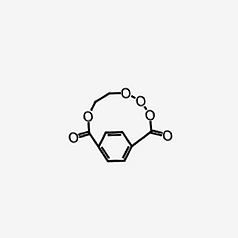 O=C1OCCOOOC(=O)c2ccc1cc2